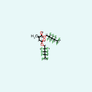 C=C(CC(=O)OCC(F)(F)C(F)(F)C(F)(F)C(F)F)C(=O)OCC(F)(F)C(F)(F)C(F)(F)C(F)F